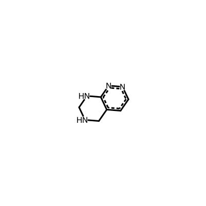 c1cc2c(nn1)NCNC2